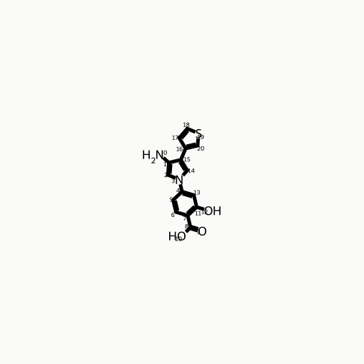 Nc1cn(-c2ccc(C(=O)O)c(O)c2)cc1-c1ccsc1